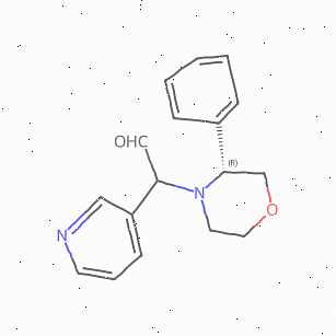 O=CC(c1cccnc1)N1CCOC[C@H]1c1ccccc1